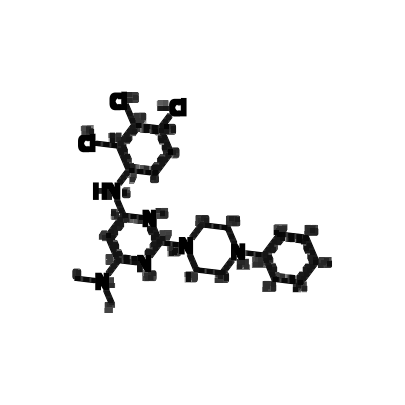 CN(C)c1cc(Nc2ccc(Cl)c(Cl)c2Cl)nc(N2CCN(c3ccccc3)CC2)n1